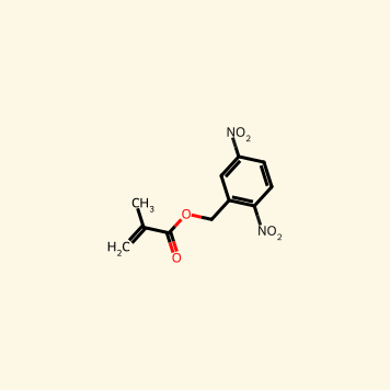 C=C(C)C(=O)OCc1cc([N+](=O)[O-])ccc1[N+](=O)[O-]